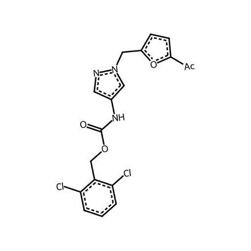 CC(=O)c1ccc(Cn2cc(NC(=O)OCc3c(Cl)cccc3Cl)cn2)o1